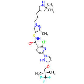 Cc1nn(CCCC2CNC(C)(C)C2)cc1SNC(=O)c1ccc(N2C=CC(OCC(C)(C)C(F)(F)F)N2)nc1Cl